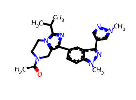 CC(=O)N1CCn2c(C(C)C)nc(-c3ccc4c(c3)c(-c3cnn(C)c3)nn4C)c2C1